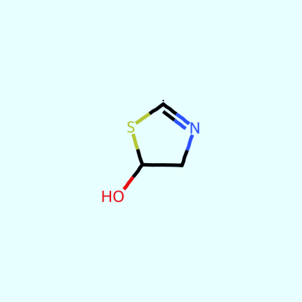 OC1CN=[C]S1